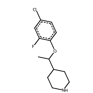 CC(Oc1ccc(Cl)cc1F)C1CCNCC1